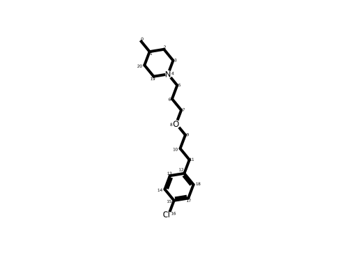 CC1CCN(CCCOCCCc2ccc(Cl)cc2)CC1